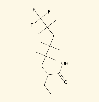 CCC(CC(C)(C)C(C)(C)CC(C)(C)C(F)(F)F)C(=O)O